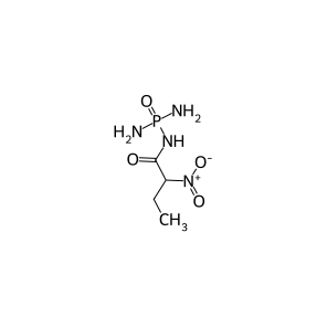 CCC(C(=O)NP(N)(N)=O)[N+](=O)[O-]